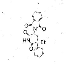 CCC1(c2ccccc2)CC(N2C(=O)c3ccccc3C2=O)C(=O)NC1=O